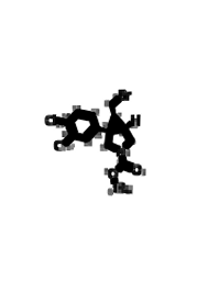 CC(C)(C)OC(=O)N1C[C@H]2[C@H](CBr)[C@@]2(c2ccc(Cl)c(Cl)c2)C1